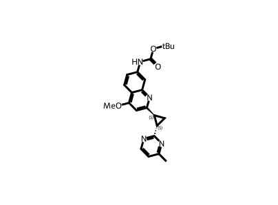 COc1cc([C@H]2C[C@@H]2c2nccc(C)n2)nc2cc(NC(=O)OC(C)(C)C)ccc12